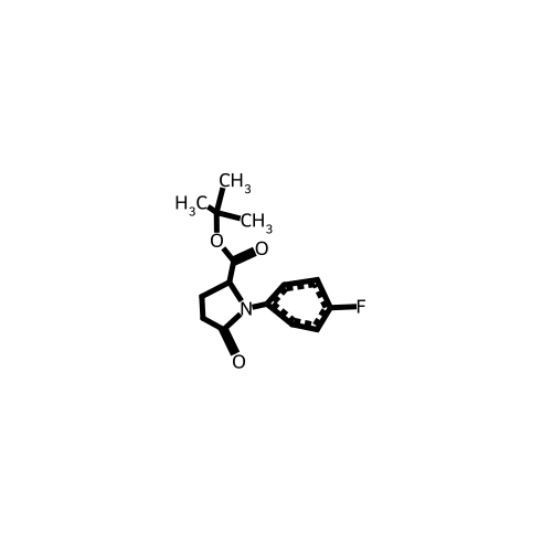 CC(C)(C)OC(=O)C1CCC(=O)N1c1ccc(F)cc1